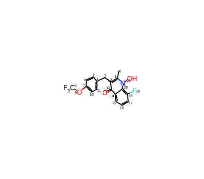 Cc1c(Cc2ccc(OC(F)(F)F)cc2)c(=O)c2cccc(F)c2n1O